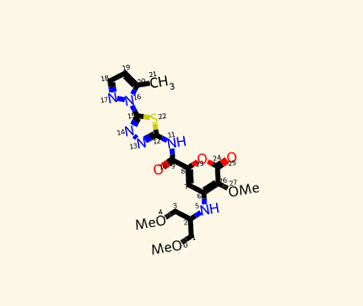 COCC(COC)Nc1cc(C(=O)Nc2nnc(-n3nccc3C)s2)oc(=O)c1OC